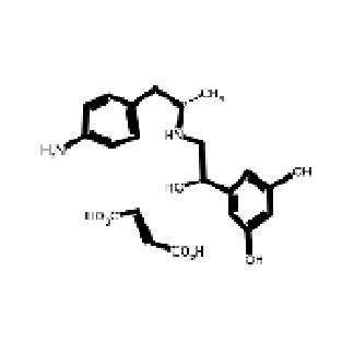 C[C@@H](Cc1ccc(N)cc1)NC[C@H](O)c1cc(O)cc(O)c1.O=C(O)C=CC(=O)O